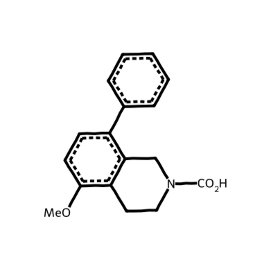 COc1ccc(-c2ccccc2)c2c1CCN(C(=O)O)C2